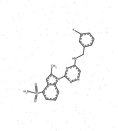 Cc1cc2c(S(N)(=O)=O)cccc2n1-c1nncc(NCc2cccc(F)c2)n1